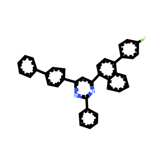 Fc1ccc(-c2ccc(-c3cc(-c4ccc(-c5ccccc5)cc4)nc(-c4ccccc4)n3)c3ccccc23)cc1